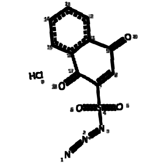 Cl.[N-]=[N+]=NS(=O)(=O)C1=CC(=O)c2ccccc2C1=O